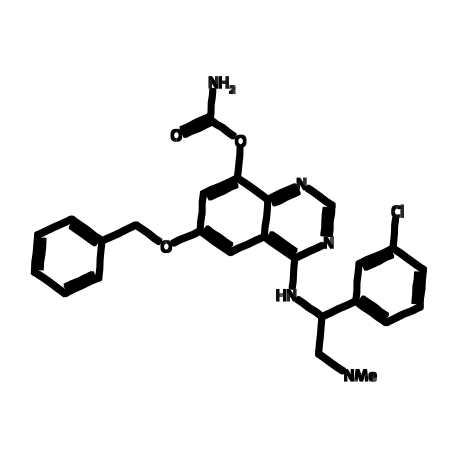 CNCC(Nc1ncnc2c(OC(N)=O)cc(OCc3ccccc3)cc12)c1cccc(Cl)c1